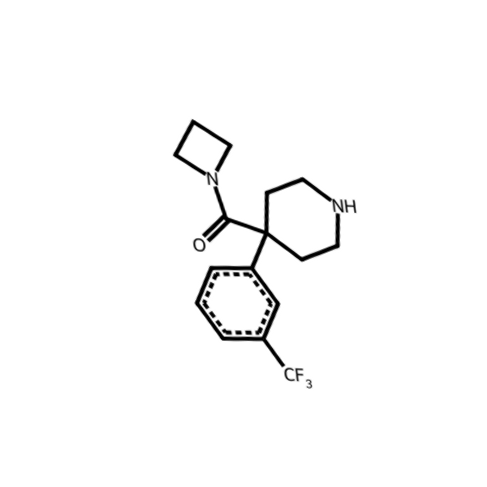 O=C(N1CCC1)C1(c2cccc(C(F)(F)F)c2)CCNCC1